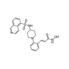 O=C(/C=C/c1ccccc1N1CCC(NS(=O)(=O)c2cccc3cnccc23)CC1)NO